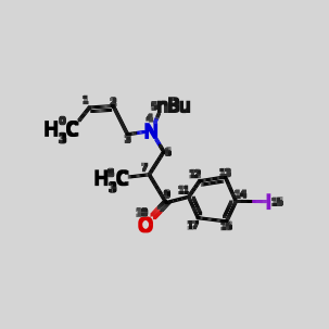 C/C=C\CN(CCCC)CC(C)C(=O)c1ccc(I)cc1